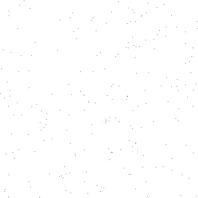 CC(CC1CCCCC1)C(=O)N1CCC(O)(Cn2cc(N=S(C)(C)=O)c(Cl)cc2=O)C2(CCCC2)C1